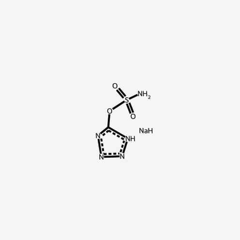 NS(=O)(=O)Oc1nnn[nH]1.[NaH]